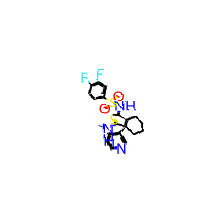 CNC(=S)[C@@]1(c2cccnc2)CCCC[C@@H]1C(C)NS(=O)(=O)c1ccc(F)c(F)c1